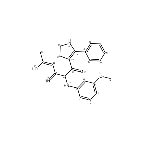 COc1cncc(NC(C(=N)/C=C(/C)O)C(=O)C2=C(c3ccccc3)NCC2)c1